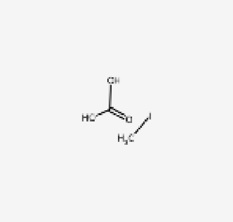 CI.O=C(O)O